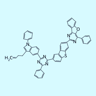 C=CCCc1cn(-c2ccccc2)c2ccc(-c3nc(-c4ccccc4)nc(-c4ccc5sc6cc(-c7nc(-c8ccccc8)c8oc9ccccc9c8n7)ccc6c5c4)n3)cc12